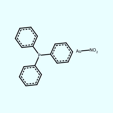 O=[N+]([O-])[Au].c1ccc(P(c2ccccc2)c2ccccc2)cc1